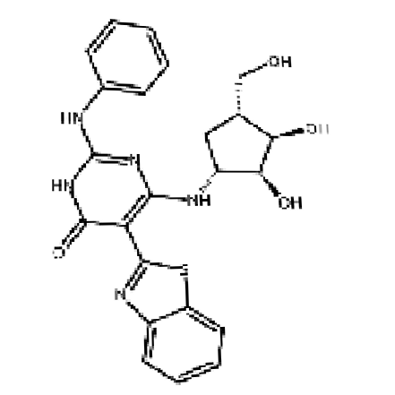 O=c1[nH]c(Nc2ccccc2)nc(N[C@@H]2C[C@H](CO)[C@@H](O)[C@H]2O)c1-c1nc2ccccc2s1